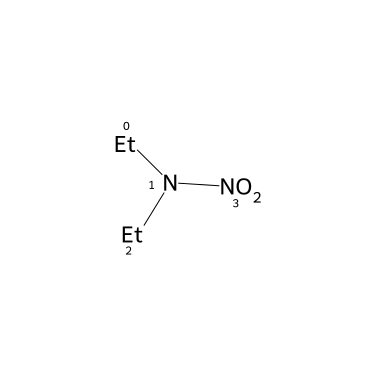 CCN(CC)[N+](=O)[O-]